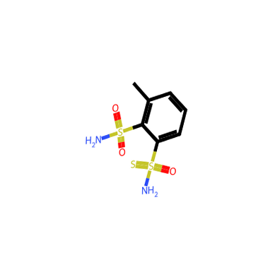 Cc1cccc(S(N)(=O)=S)c1S(N)(=O)=O